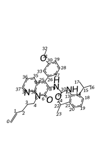 C=CCCCn1c(=O)c(NC(=O)Nc2c(C(C)C)cccc2C(C)C)c(-c2cccc(OC)c2)c2cccnc21